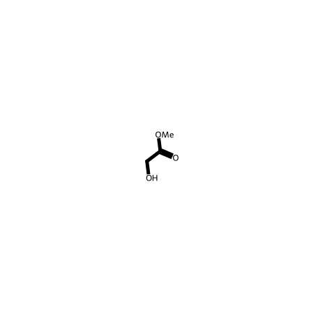 [CH2]OC(=O)CO